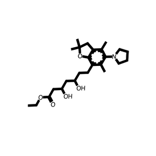 CCOC(=O)CC(O)CC(O)CCc1c(C)c(N2CCCC2)c(C)c2c1OC(C)(C)C2